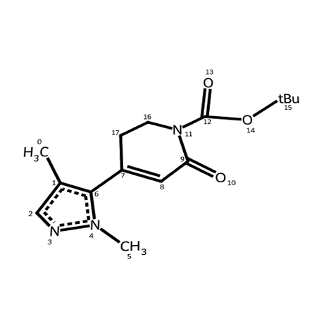 Cc1cnn(C)c1C1=CC(=O)N(C(=O)OC(C)(C)C)CC1